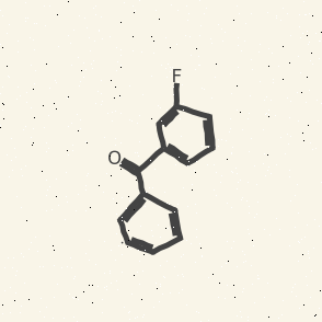 O=C(c1c[c]ccc1)c1cccc(F)c1